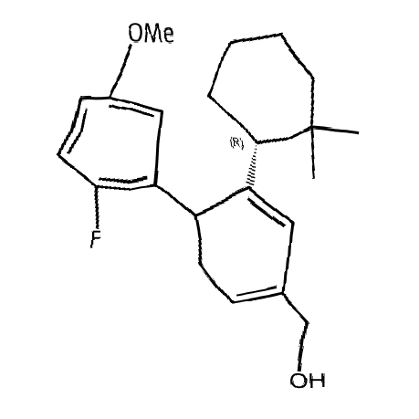 COc1ccc(F)c(C2CC=C(CO)C=C2[C@@H]2CCCCC2(C)C)c1